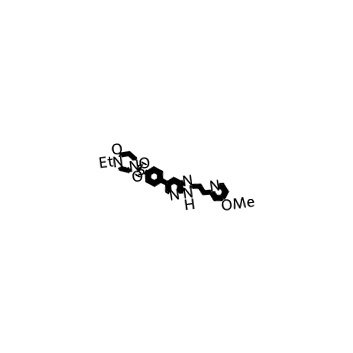 CCN1CCN(S(=O)(=O)c2ccc(-c3cnc4[nH]c(CCc5cc(OC)ccn5)nc4c3)cc2)CCC1=O